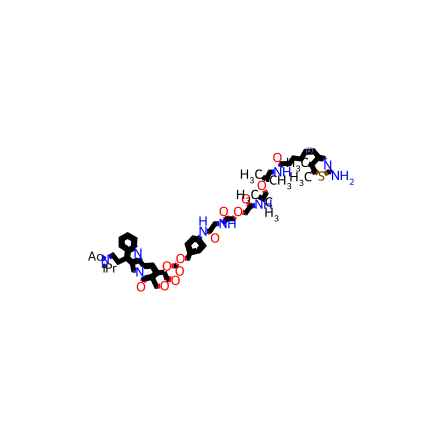 CC(=O)N(CCc1c2c(nc3ccccc13)-c1cc3c(c(=O)n1C2)COC(=O)C3OC(=O)OCc1ccc(NC(=O)CNC(=O)COCC(=O)NC(C)(C)COC(C)(C)CNC(=O)CCC/C=C\C2=CN=C(N)SC(C)C2C)cc1)C(C)C